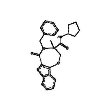 CC1(C(=O)NC2CCCC2)COc2c(oc3ccccc23)C(=O)N1Cc1ccccc1